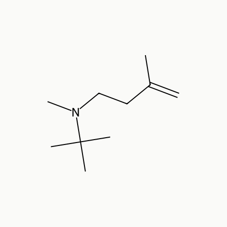 C=C(C)CCN(C)C(C)(C)C